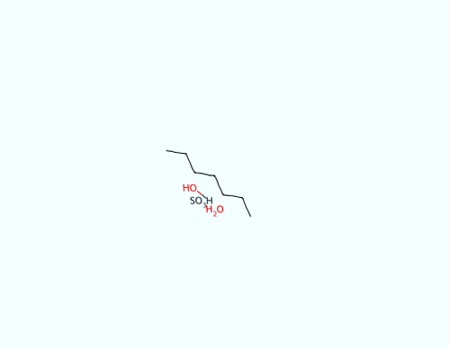 CCCCCCC.O.O=S(=O)(O)O